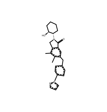 Cc1c(Cc2ccc(-n3cccn3)cc2)cc2c(c1C)CN([C@H]1CCCC[C@@H]1O)C2=O